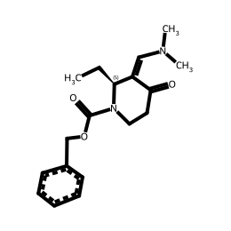 CC[C@H]1C(=CN(C)C)C(=O)CCN1C(=O)OCc1ccccc1